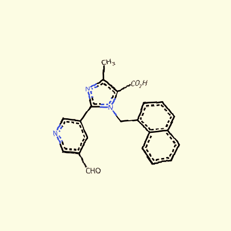 Cc1nc(-c2cncc(C=O)c2)n(Cc2cccc3ccccc23)c1C(=O)O